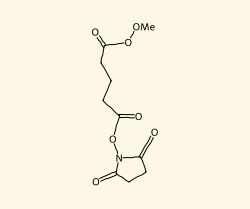 COOC(=O)CCCC(=O)ON1C(=O)CCC1=O